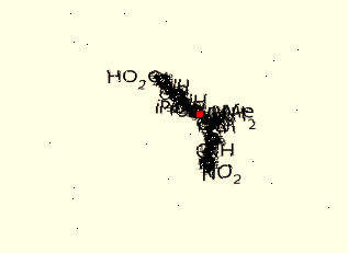 COC(C(N)=O)C(NC(=O)c1ccc(NC(=O)c2ccc([N+](=O)[O-])cc2)cc1)C(=O)Nc1ccc(C(=O)Nc2ccc(C(=O)Nc3ccc(C(=O)O)cc3)cc2OC(C)C)cc1